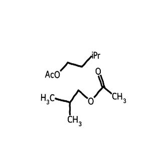 CC(=O)OCC(C)C.CC(=O)OCCC(C)C